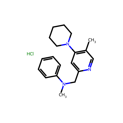 Cc1cnc(CN(C)c2ccccc2)cc1N1CCCCC1.Cl